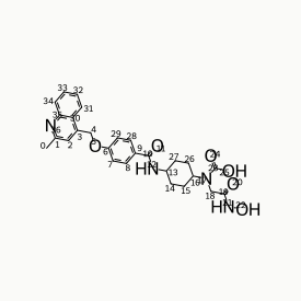 Cc1cc(COc2ccc(C(=O)NC3CCC(N(CC(=O)NO)C(=O)O)CC3)cc2)c2ccccc2n1